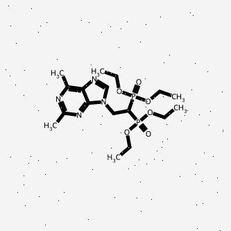 CCOP(=O)(OCC)C(Cn1cnc2c(C)nc(C)nc21)P(=O)(OCC)OCC